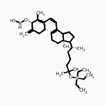 C=C1CCC(/C=C\C2=CCC[C@@]3(C)C2CCC3[C@H](C)CCCC(C)(C)O[Si](CC)(CC)CC)=C(C)[C@H]1ONS